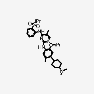 Cc1cc(Nc2ncc(C)c(Nc3ccccc3S(=O)(=O)C(C)C)n2)c(OC(C)C)cc1C1CCC(N(C)C)CC1